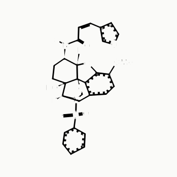 COc1ccc2c3c1O[C@H]1[C@H](N(C)C(=O)/C=C\c4ccoc4)CC[C@@]4(O)[C@@H](C2)N(S(=O)(=O)c2ccccc2)CC[C@]314